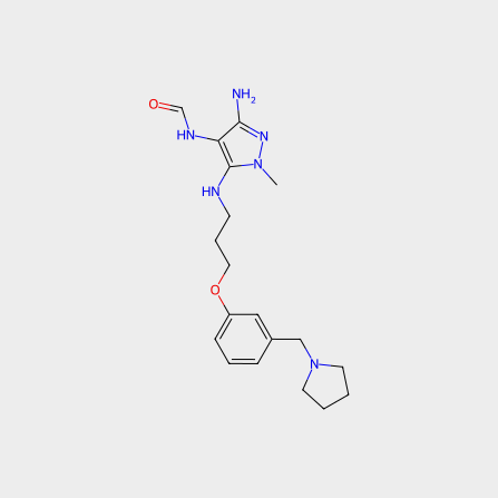 Cn1nc(N)c(NC=O)c1NCCCOc1cccc(CN2CCCC2)c1